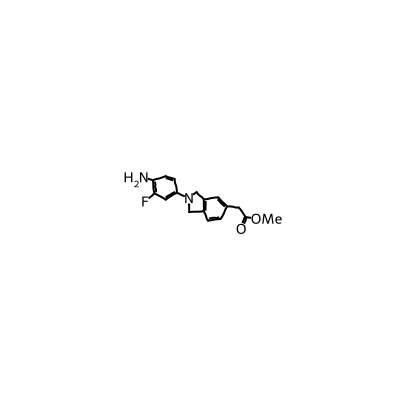 COC(=O)Cc1ccc2c(c1)CN(c1ccc(N)c(F)c1)C2